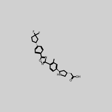 Cc1cc([C@H]2C[C@H](CC(=O)O)CN2)ccc1-c1noc(-c2ccc([C@@H]3CCC(F)(F)C3)cc2)n1